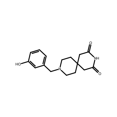 O=C1CC2(CCN(Cc3cccc(O)c3)CC2)CC(=O)N1